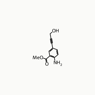 COC(=O)c1cc(C#CCO)ccc1N